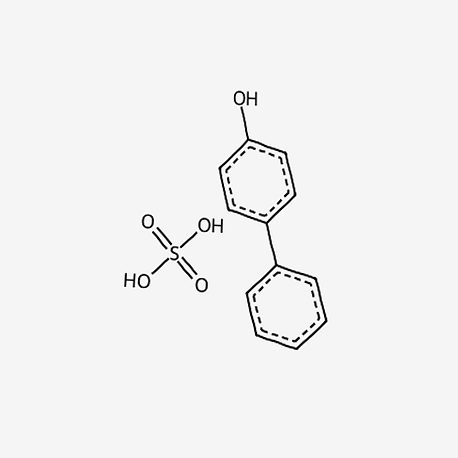 O=S(=O)(O)O.Oc1ccc(-c2ccccc2)cc1